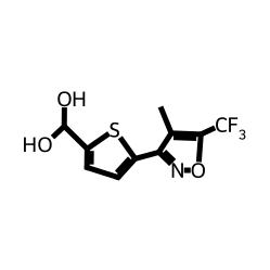 Cc1c(-c2ccc(C(O)O)s2)noc1C(F)(F)F